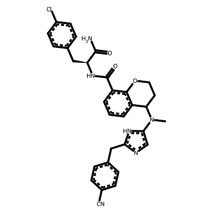 CN(c1cnc(Cc2ccc(C#N)cc2)[nH]1)C1CCOc2c(C(=O)N[C@@H](Cc3ccc(Cl)cc3)C(N)=O)cccc21